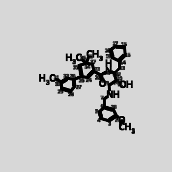 COc1cccc(CNC[C@@H](O)[C@H](Cc2ccccc2)NC(=O)C2=CC(c3cccc(C)c3)=CC(C)(C)C2)c1